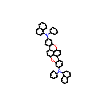 c1ccc(N(c2ccc3c(c2)Oc2ccc4c5c(ccc-3c25)Oc2cc(N(c3ccccc3)c3cccc5ccccc35)ccc2-4)c2cccc3ccccc23)cc1